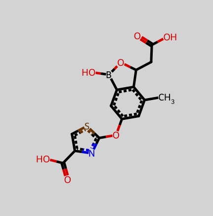 Cc1cc(Oc2nc(C(=O)O)cs2)cc2c1C(CC(=O)O)OB2O